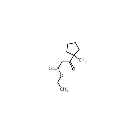 CCO[PH](=O)CC(=O)C1(C)CCCC1